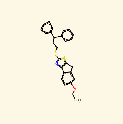 O=C(O)COc1ccc2c(c1)Cc1sc(SCCC(c3ccccc3)c3ccccc3)nc1-2